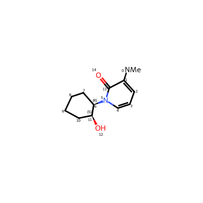 CNc1cccn([C@@H]2CCCC[C@@H]2O)c1=O